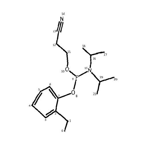 CCc1ccccc1OP(OCCC#N)N(C(C)C)C(C)C